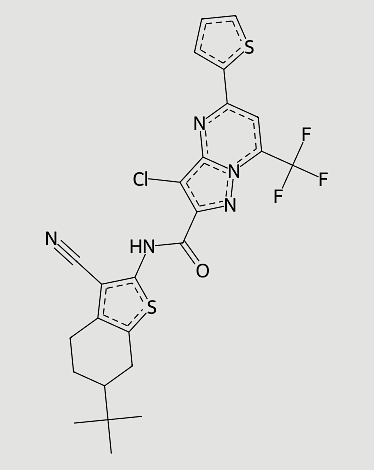 CC(C)(C)C1CCc2c(sc(NC(=O)c3nn4c(C(F)(F)F)cc(-c5cccs5)nc4c3Cl)c2C#N)C1